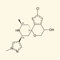 C[C@H]1C[C@@]2(C[C@@H](c3cnn(C)c3)N1)OCC(O)c1cc(Cl)sc12